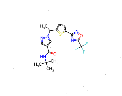 CC(c1ccc(-c2noc(C(F)(F)F)n2)s1)n1cc(C(=O)NC(C)(C)C)cn1